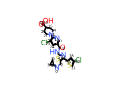 CN(Cc1sc(NC(=O)c2cnc(N3CCC(C(=O)O)CC3)c(Cl)c2)nc1-c1cc(Cl)cs1)C1CC1